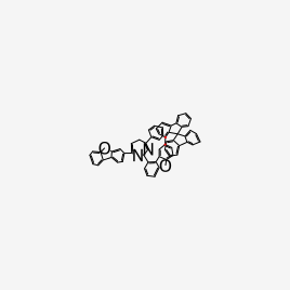 C1=C(c2ccc3c(c2)oc2ccccc23)N=C(c2cccc3oc4ccc(-c5cccc6c5C5(c7ccccc7-c7ccccc75)c5ccccc5-6)cc4c23)N=C(c2ccccc2)C1